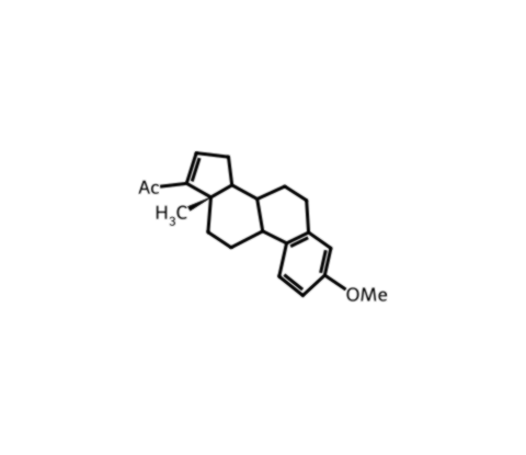 COc1ccc2c(c1)CCC1C2CC[C@]2(C)C(C(C)=O)=CCC12